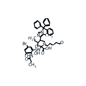 CCC(=O)Nc1c(I)cc(Br)cc1S(=O)(=O)NC1(C(=O)O)CC(CC)C(c2ncn(C(c3ccccc3)(c3ccccc3)c3ccccc3)c2C)CN1CCCCC=O